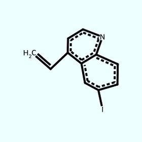 C=Cc1ccnc2ccc(I)cc12